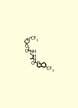 C=C(CCNC(=O)CO[C@H]1CCN(CC(F)(F)F)C1)NC(=O)c1ccc2cc(C(F)(F)F)ccc2n1